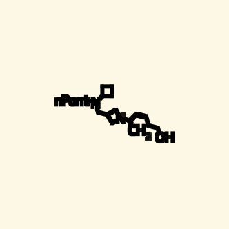 C=C(/C=C\CCO)N1CC(CN(CCCCC)C2CCC2)C1